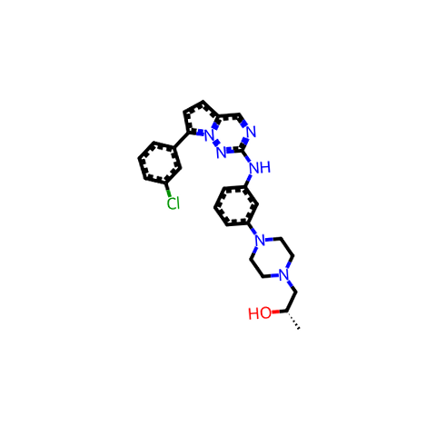 C[C@H](O)CN1CCN(c2cccc(Nc3ncc4ccc(-c5cccc(Cl)c5)n4n3)c2)CC1